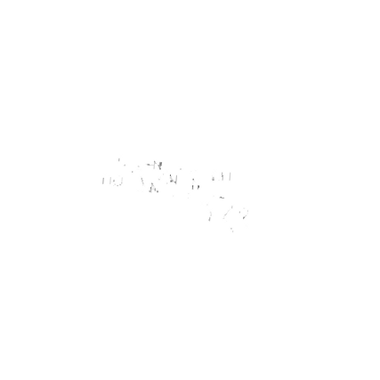 CC(c1ccc2c(c1)OCC2)N1CCN(c2ncc(C(O)C(F)(F)F)cn2)CC1